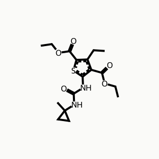 CCOC(=O)c1sc(NC(=O)NC2(C)CC2)c(C(=O)OCC)c1CC